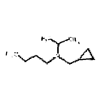 CCCCN(CC1CC1)C(C)C